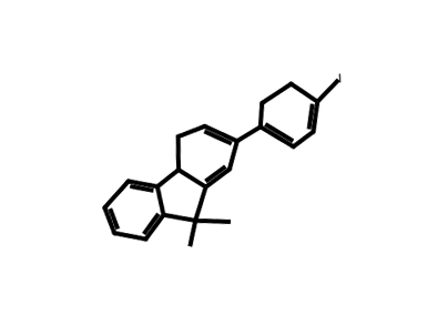 CC1(C)C2=CC(C3=CC=C(I)CC3)=CCC2c2ccccc21